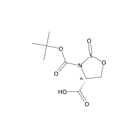 CC(C)(C)OC(=O)N1[C@@H](C(=O)O)COS1=O